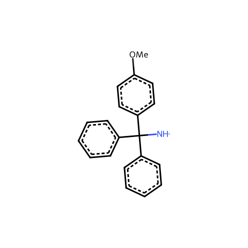 COc1ccc(C([NH])(c2ccccc2)c2ccccc2)cc1